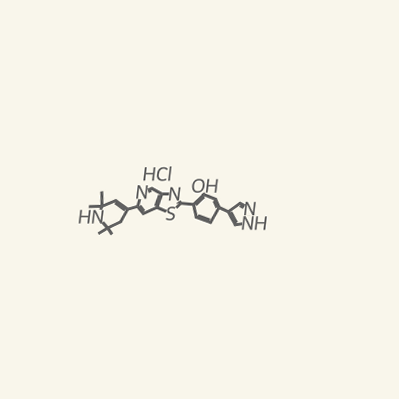 CC1(C)C=C(c2cc3sc(-c4ccc(-c5cn[nH]c5)cc4O)nc3cn2)CC(C)(C)N1.Cl